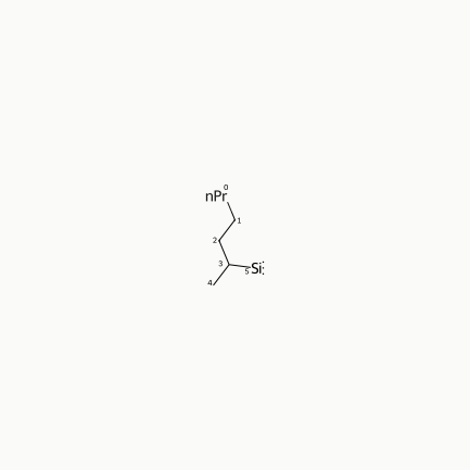 CCCCCC(C)[Si]